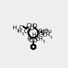 C=CC=C(C)[C@H]1OC(=O)C[C@H](O[Si](C)(C)C(C)(C)C)CC[C@@]2(C)OC(c3ccccc3)O[C@H]2C=C[C@@H]1C